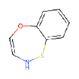 c1ccc2s[nH]ccoc2c1